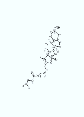 CC1=C(CC[C@H](C)CNC(=O)OCC(C)C)O[C@H]2CC3[C@@H]4CCC5C[C@@H](O)CC[C@]5(C)C4CC[C@]3(C)C12